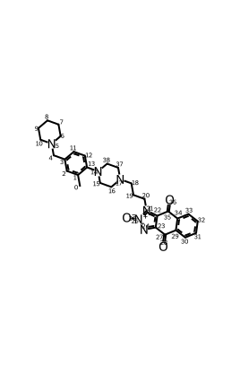 Cc1cc(CN2CCCCC2)ccc1N1CCN(CCCn2c3c(n[n+]2[O-])C(=O)c2ccccc2C3=O)CC1